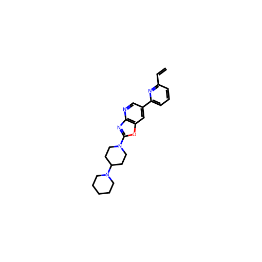 C=Cc1cccc(-c2cnc3nc(N4CCC(N5CCCCC5)CC4)oc3c2)n1